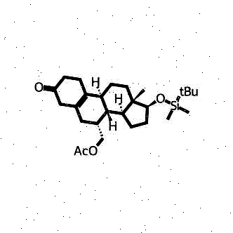 CC(=O)OC[C@@H]1CC2=C(CCC(=O)C2)[C@H]2CC[C@]3(C)[C@@H](O[Si](C)(C)C(C)(C)C)CC[C@H]3[C@H]12